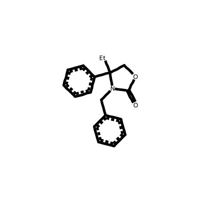 CCC1(c2ccccc2)COC(=O)N1Cc1ccccc1